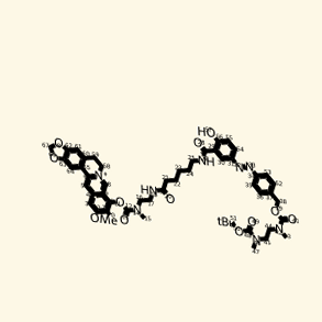 COc1ccc2cc3[n+](cc2c1OC(=O)N(C)CCNC(=O)CCCCCNC(=O)c1cc(/N=N/c2ccc(COC(=O)N(C)CCN(C)C(=O)OC(C)(C)C)cc2)ccc1O)CCc1cc2c(cc1-3)OCO2